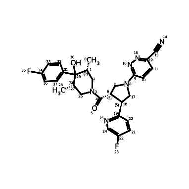 C[C@@H]1CN(C(=O)[C@@H]2CN(c3ccc(C#N)nn3)C[C@H]2c2ccc(F)cn2)C[C@H](C)C1(O)c1ccc(F)cc1